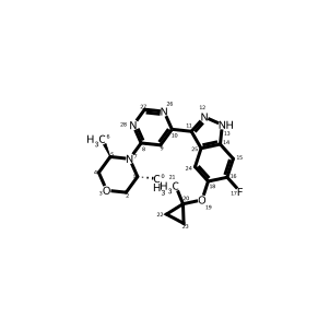 C[C@@H]1COC[C@@H](C)N1c1cc(-c2n[nH]c3cc(F)c(OC4(C)CC4)cc23)ncn1